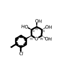 Cc1ccc([C@@H]2O[C@@H](O)[C@@H](O)[C@H](O)[C@@H]2O)cc1Cl